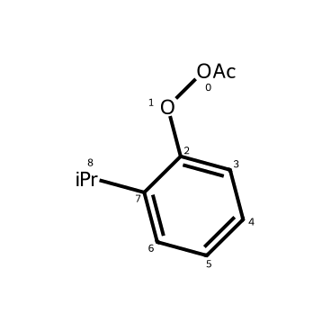 CC(=O)OOc1ccccc1C(C)C